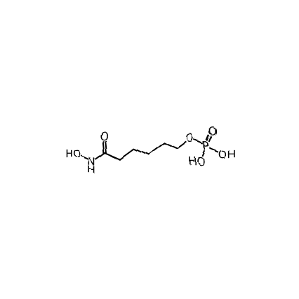 O=C(CCCCCOP(=O)(O)O)NO